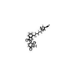 C#Cc1cnn(CCCCCc2cccc3c2CN(C2CCC(=O)NC2=O)C3=O)c1